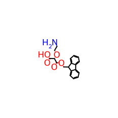 NCCOC(C(=O)O)C(=O)OCC1c2ccccc2-c2ccccc21